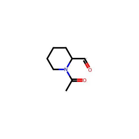 CC(=O)N1CCCCC1[C]=O